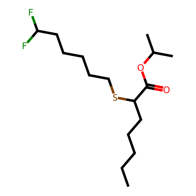 CCCCCC(SCCCCCC(F)F)C(=O)OC(C)C